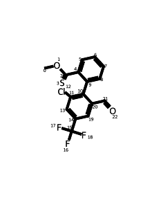 COC(=S)c1ccccc1-c1c(Cl)cc(C(F)(F)F)cc1C=O